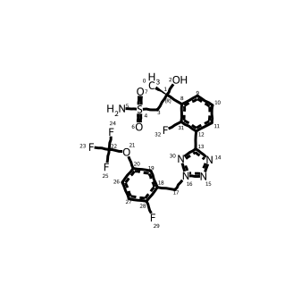 C[C@](O)(CS(N)(=O)=O)c1cccc(-c2nnn(Cc3cc(OC(F)(F)F)ccc3F)n2)c1F